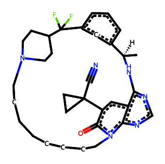 C[C@H]1Nc2ncnc3c2cc(C2(C#N)CC2)c(=O)n3CCCCCCCCN2CCC(CC2)C(F)(F)c2cccc1c2